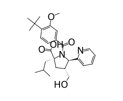 COc1cc(C(=O)N2[C@@H](c3ccccn3)[C@H](CO)C[C@@]2(CC(C)C)C(=O)O)ccc1C(C)(C)C